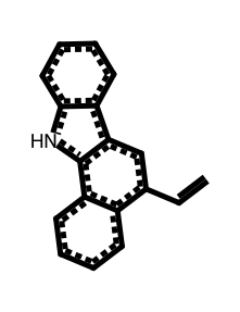 C=Cc1cc2c3ccccc3[nH]c2c2ccccc12